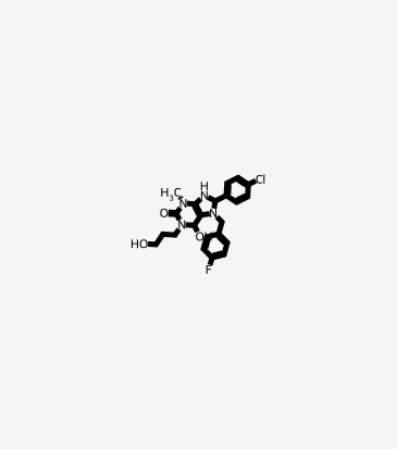 CN1C(=O)N(CCCO)C(O)C2=C1NC(c1ccc(Cl)cc1)N2Cc1ccc(F)cc1